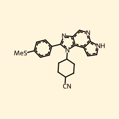 CSc1ccc(-c2nc3cnc4[nH]ccc4c3n2C2CCC(C#N)CC2)cc1